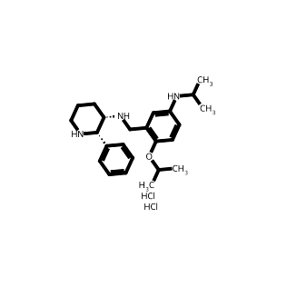 CC(C)Nc1ccc(OC(C)C)c(CN[C@H]2CCCN[C@H]2c2ccccc2)c1.Cl.Cl